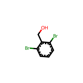 OCc1c(Br)cccc1Br